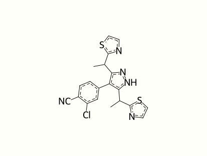 CC(c1nccs1)c1n[nH]c(C(C)c2nccs2)c1-c1ccc(C#N)c(Cl)c1